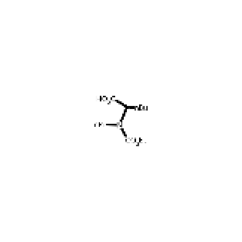 CCCCC(C(=O)O)N(CCC)C(=O)OCC